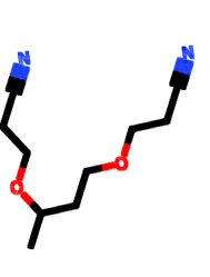 CC(CCOCCC#N)OCCC#N